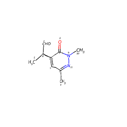 Cc1cc(C(C)C=O)c(=O)n(C)n1